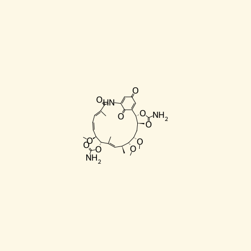 CO[C@H]1[C@@H](OC)C[C@H](C)[C@@H](OC(N)=O)C2=CC(=O)C=C(NC(=O)/C(C)=C/C=C\[C@H](OC)[C@@H](OC(N)=O)/C(C)=C/[C@@H]1C)C2=O